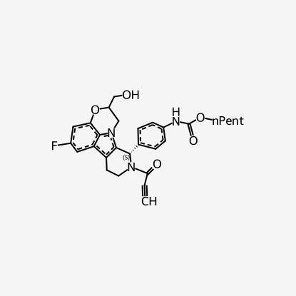 C#CC(=O)N1CCc2c(n3c4c(cc(F)cc24)OC(CO)C3)[C@@H]1c1ccc(NC(=O)OCCCCC)cc1